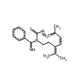 C=C(C)/C=C\C(CCN(C(=N)c1ccccc1)C(N)=S)=C(C)C